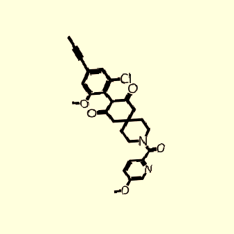 CC#Cc1cc(Cl)c(C2C(=O)CC3(CCN(C(=O)c4ccc(OC)cn4)CC3)CC2=O)c(OC)c1